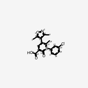 Cc1noc(C)c1-c1cc(C(=O)O)c(=O)n(-c2cccc(Cl)c2)c1C